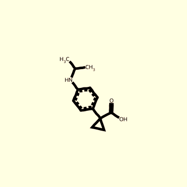 CC(C)Nc1ccc(C2(C(=O)O)CC2)cc1